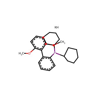 COc1cccc(OC)c1-c1ccccc1P(C1CCCCC1)C1CCCCC1.[KH]